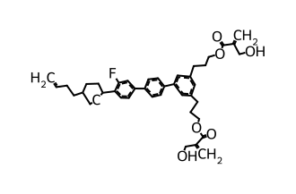 C=CCCC1CCC(c2ccc(-c3ccc(-c4cc(CCCOC(=O)C(=C)CO)cc(CCCOC(=O)C(=C)CO)c4)cc3)cc2F)CC1